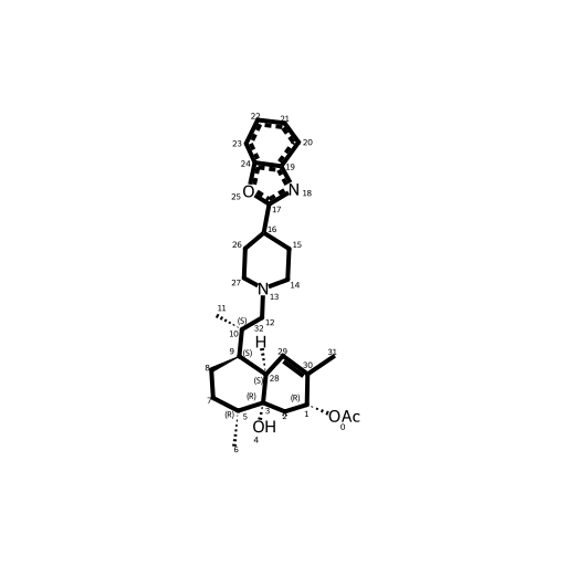 CC(=O)O[C@@H]1[C][C@@]2(O)[C@H](C)CC[C@@H]([C@H](C)CN3CCC(c4nc5ccccc5o4)CC3)[C@H]2C=C1C